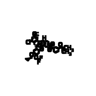 CN(C)C(=O)c1cccc(S(=O)(=O)N2CCNC(C(=O)O[C@@H](Cc3c(Cl)c[n+]([O-])cc3Cl)c3ccc(OC(F)F)c(OCC4CC4)c3)C2)c1